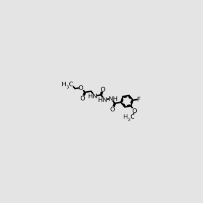 CCOC(=O)CNC(=O)NNC(=O)c1ccc(F)c(OC)c1